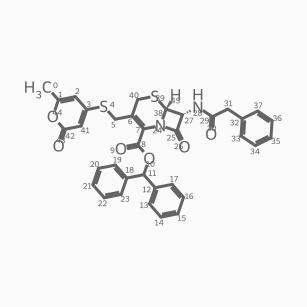 Cc1cc(SCC2=C(C(=O)OC(c3ccccc3)c3ccccc3)N3C(=O)[C@@H](NC(=O)Cc4ccccc4)[C@H]3SC2)cc(=O)o1